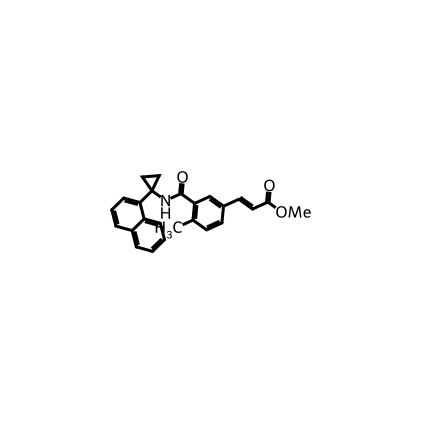 COC(=O)/C=C/c1ccc(C)c(C(=O)NC2(c3cccc4ccccc34)CC2)c1